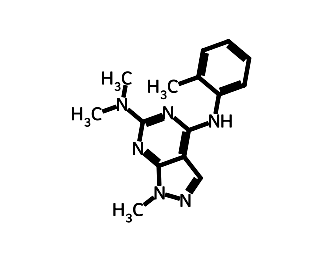 Cc1ccccc1Nc1nc(N(C)C)nc2c1cnn2C